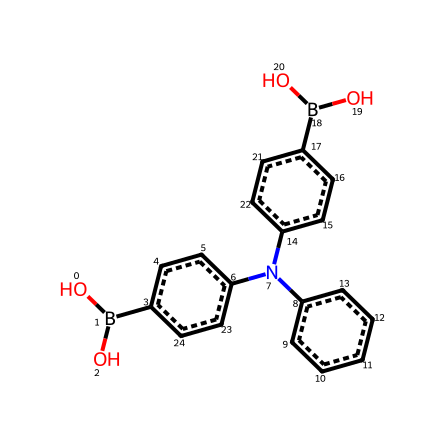 OB(O)c1ccc(N(c2ccccc2)c2ccc(B(O)O)cc2)cc1